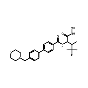 CC(C(NC(=O)c1ccc(-c2ccc(CN3CCOCC3)cc2)cc1)C(=O)NO)C(F)(F)F